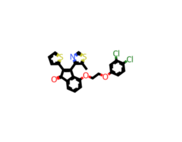 Cc1scnc1C1=C(c2cccs2)C(=O)c2cccc(OCCOc3ccc(Cl)c(Cl)c3)c21